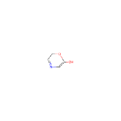 OC1=CN=CCO1